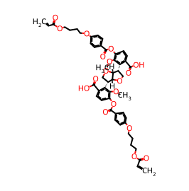 C=CC(=O)OCCCCOc1ccc(C(=O)Oc2ccc(C(=O)O)c([C@@H]3CO[C@H]4[C@@H]3OC[C@H]4c3c(C(=O)O)ccc(OC(=O)c4ccc(OCCCCOC(=O)C=C)cc4)c3OC)c2OC)cc1